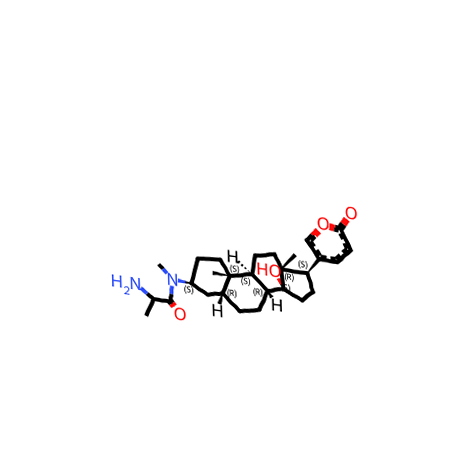 CC(N)C(=O)N(C)[C@H]1CC[C@@]2(C)[C@H](CC[C@@H]3[C@@H]2CC[C@]2(C)[C@@H](c4ccc(=O)oc4)CC[C@]32O)C1